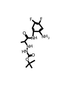 CC(NNC(=O)OC(C)(C)C)C(=O)Nc1cc(F)c(F)cc1N